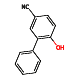 N#Cc1ccc(O)c(-c2ccccc2)c1